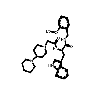 CCOc1ccccc1CNC(=O)C(Cc1c[nH]c2ccccc12)NC(=O)CN1CCC(N2CCCCC2)CC1